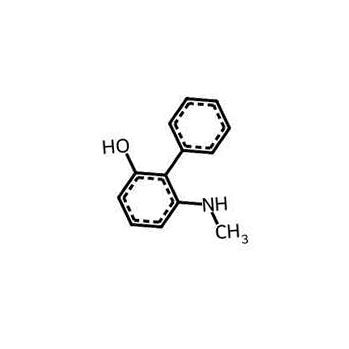 CNc1cccc(O)c1-c1ccccc1